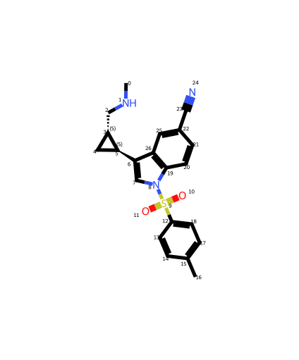 CNC[C@H]1C[C@@H]1c1cn(S(=O)(=O)c2ccc(C)cc2)c2ccc(C#N)cc12